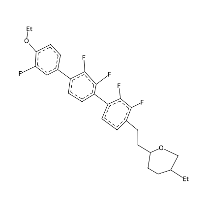 CCOc1ccc(-c2ccc(-c3ccc(CCC4CCC(CC)CO4)c(F)c3F)c(F)c2F)cc1F